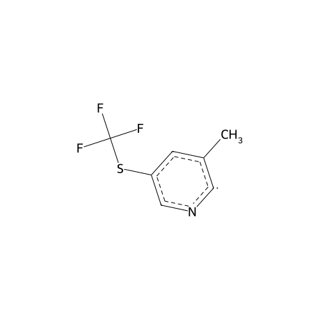 Cc1[c]ncc(SC(F)(F)F)c1